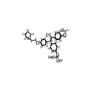 CCC(=C(c1ccc(OCCN2CCCC2)cc1)c1ccc(OP(O)O)cc1)c1ccc2c(c1)OCO2